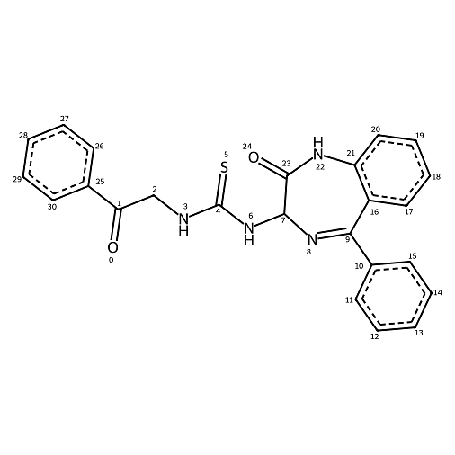 O=C(CNC(=S)NC1N=C(c2ccccc2)c2ccccc2NC1=O)c1ccccc1